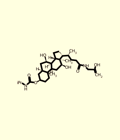 C=C(O)CNC(=O)CC[C@@H](C)[C@H]1CC[C@H]2[C@@H]3[C@H](O)C[C@@H]4C[C@H](OC(=O)NC(C)C)CC[C@]4(C)[C@H]3C[C@H](O)[C@]12C